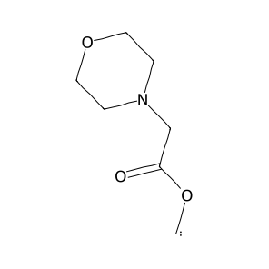 [CH]OC(=O)CN1CCOCC1